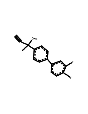 C#CC(C)(OC(C)=O)c1ccc(-c2ccc(F)c(F)c2)cc1